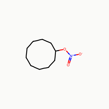 O=[N+]([O-])OC1CCCCCCCCC1